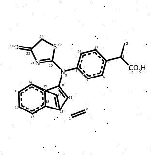 C=C.CC(C(=O)O)c1ccc(N(C2=CC3=Cc4cccc3c42)C2=NC(=O)CS2)cc1